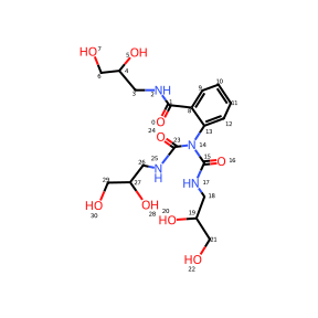 O=C(NCC(O)CO)c1ccccc1N(C(=O)NCC(O)CO)C(=O)NCC(O)CO